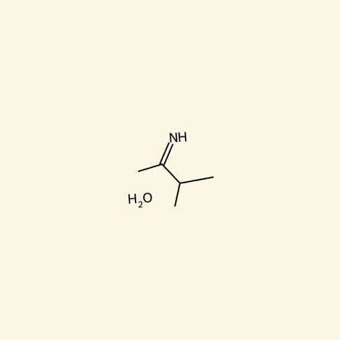 CC(=N)C(C)C.O